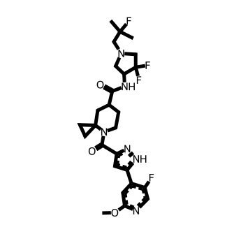 COc1cc(-c2cc(C(=O)N3CCC(C(=O)NC4CN(CC(C)(C)F)CC4(F)F)CC34CC4)n[nH]2)c(F)cn1